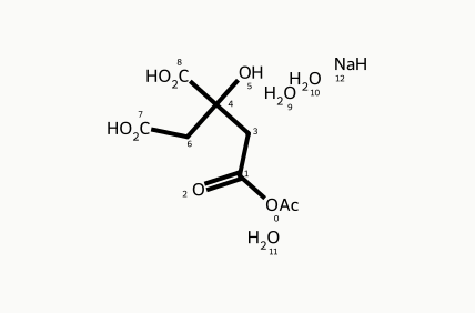 CC(=O)OC(=O)CC(O)(CC(=O)O)C(=O)O.O.O.O.[NaH]